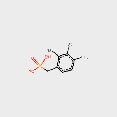 CCc1c(C)ccc(CP(=O)(O)O)c1CC